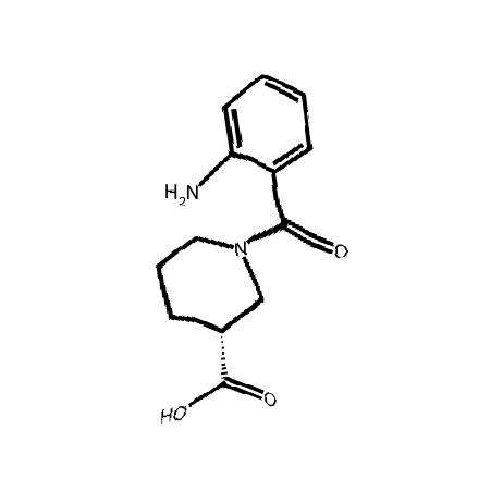 Nc1ccccc1C(=O)N1CCC[C@@H](C(=O)O)C1